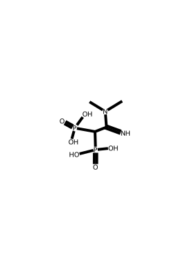 CN(C)C(=N)C(P(=O)(O)O)P(=O)(O)O